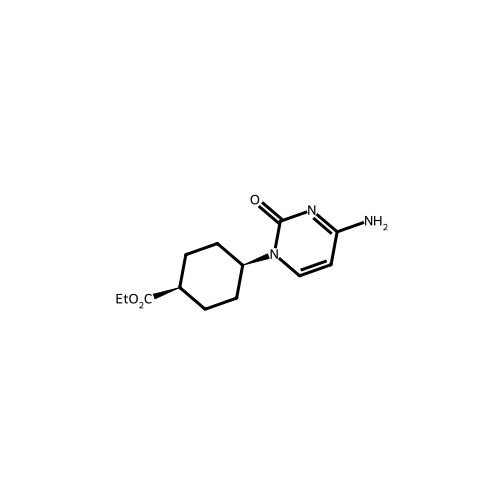 CCOC(=O)[C@H]1CC[C@@H](n2ccc(N)nc2=O)CC1